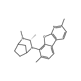 Cc1ccc2c(n1)oc1c(N3C4CCC(C4)N(C)[C@@H]3C)c(C)ccc12